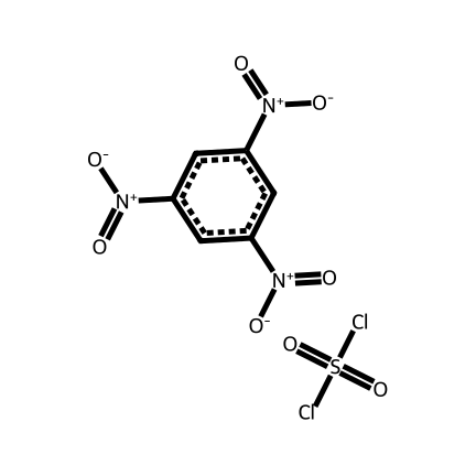 O=S(=O)(Cl)Cl.O=[N+]([O-])c1cc([N+](=O)[O-])cc([N+](=O)[O-])c1